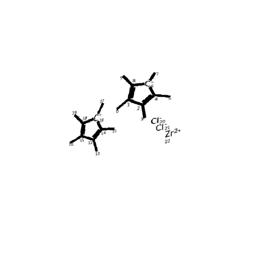 Cc1c(C)c(C)[c-](C)c1C.Cc1c(C)c(C)[c-](C)c1C.[Cl-].[Cl-].[Zr+2]